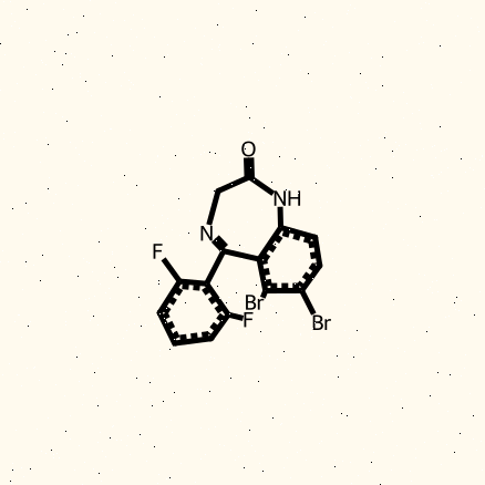 O=C1CN=C(c2c(F)cccc2F)c2c(ccc(Br)c2Br)N1